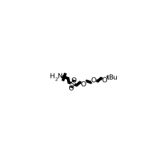 CC(C)(N)CCS(=O)(=O)CCOCCOCCOC(C)(C)C